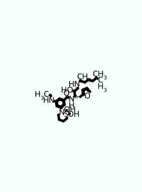 CCNc1cc(C(=O)N[C@@H](Cc2ccco2)[C@@H](O)CNC(C)CCCC(C)C)cc(N2CCCCS2(O)O)c1